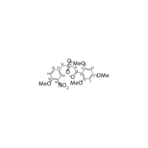 COc1cc(OC)c(C(=O)CS(=O)(=O)Cc2ccc(OC)c([N+](=O)[O-])c2)c(OC)c1